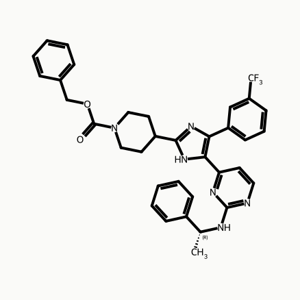 C[C@@H](Nc1nccc(-c2[nH]c(C3CCN(C(=O)OCc4ccccc4)CC3)nc2-c2cccc(C(F)(F)F)c2)n1)c1ccccc1